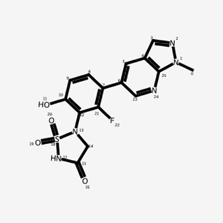 Cn1ncc2cc(-c3ccc(O)c(N4CC(=O)NS4(=O)=O)c3F)cnc21